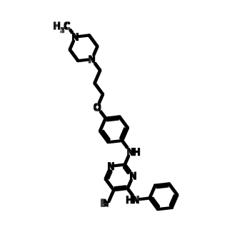 CN1CCN(CCCOc2ccc(Nc3ncc(Br)c(Nc4ccccc4)n3)cc2)CC1